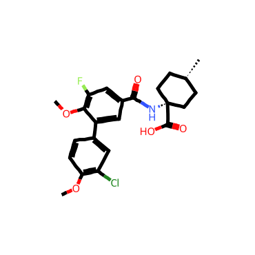 COc1ccc(-c2cc(C(=O)N[C@]3(C(=O)O)CC[C@H](C)CC3)cc(F)c2OC)cc1Cl